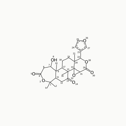 CC1(C)OC(=O)CC(O)C2(C)C1CC(=O)C1(C)C2CCC2(C)C(c3ccoc3)OC(=O)C3OC321